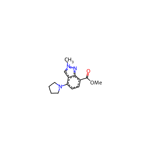 COC(=O)c1ccc(N2CCCC2)c2cn(C)nc12